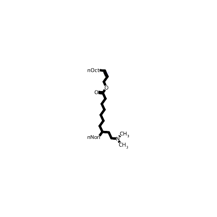 CCCCCCCC/C=C\COC(=O)CCCCCCC(CCCCCCCCC)CCN(C)C